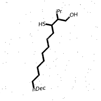 CCCCCCCCCCCCCCCCCCC(S)C(CO)C(C)C